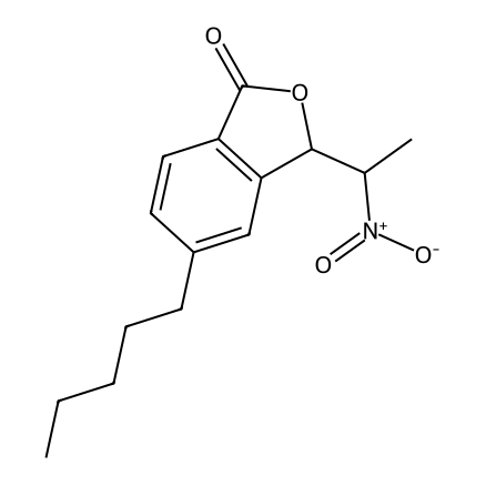 CCCCCc1ccc2c(c1)C(C(C)[N+](=O)[O-])OC2=O